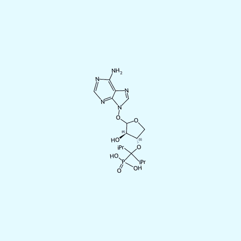 CC(C)C(O[C@H]1COC(On2cnc3c(N)ncnc32)[C@@H]1O)(C(C)C)P(=O)(O)O